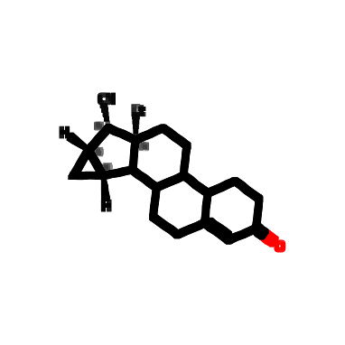 CC[C@]12CCC3C4CCC(=O)C=C4CCC3C1[C@@H]1C[C@@H]1[C@@H]2C#N